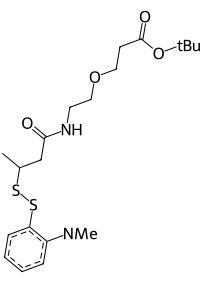 CNc1ccccc1SSC(C)CC(=O)NCCOCCC(=O)OC(C)(C)C